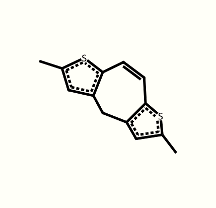 Cc1cc2c(s1)C=Cc1sc(C)cc1C2